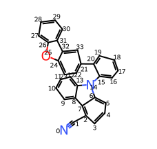 N#Cc1cccc2c1c1ccccc1n2-c1ccccc1-c1ccc2oc3ccccc3c2c1